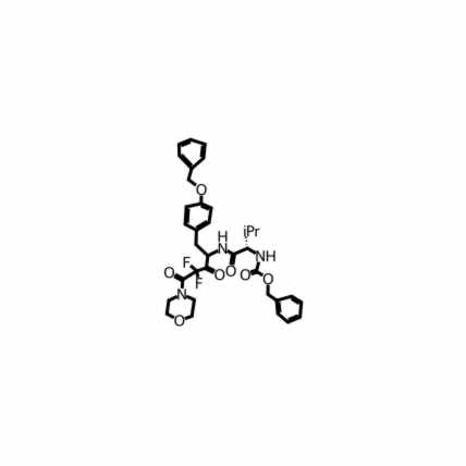 CC(C)[C@H](NC(=O)OCc1ccccc1)C(=O)NC(Cc1ccc(OCc2ccccc2)cc1)C(=O)C(F)(F)C(=O)N1CCOCC1